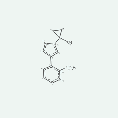 N#CC1(n2cc(-c3cccnc3C(=O)O)cn2)CC1